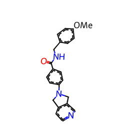 COc1ccc(CNC(=O)c2ccc(N3Cc4ccncc4C3)cc2)cc1